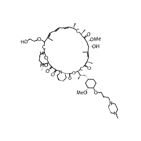 CO[C@@H]1C[C@H](C[C@@H](C)[C@@H]2CC(=O)[C@H](C)/C=C(\C)[C@@H](O)[C@@H](OC)C(=O)[C@H](C)C[C@H](C)/C=C/C=C/C=C(\C)C(OCCO)C[C@@H]3CC[C@@H](C)[C@@](O)(O3)C(=O)C(=O)N3CCCCC3C(=O)O2)CC[C@H]1OCCCN1CCN(C)CC1